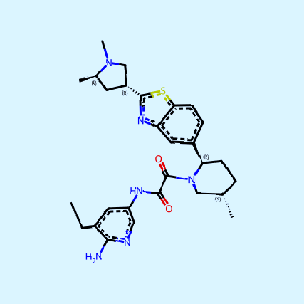 CCc1cc(NC(=O)C(=O)N2C[C@@H](C)CC[C@@H]2c2ccc3sc([C@@H]4C[C@@H](C)N(C)C4)nc3c2)cnc1N